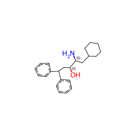 N[C@@H](CC1CCCCC1)[C@@H](O)CC(c1ccccc1)c1ccccc1